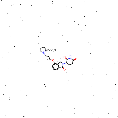 O=C1CCC(N2Cc3c(OCCCN4CCC[C@@H]4C(=O)O)cccc3C2=O)C(=O)N1